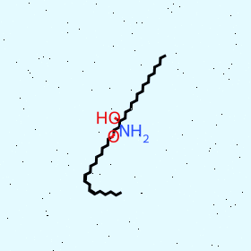 CCCCC/C=C\C/C=C\CCCCCCCCOCC(N)C(O)CCCCCCCCCCCCCCC